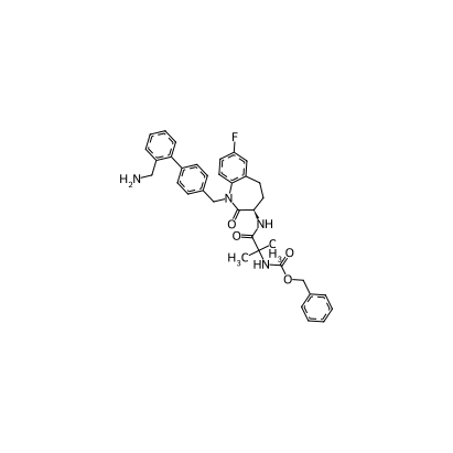 CC(C)(NC(=O)OCc1ccccc1)C(=O)N[C@@H]1CCc2cc(F)ccc2N(Cc2ccc(-c3ccccc3CN)cc2)C1=O